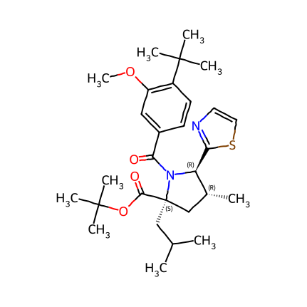 COc1cc(C(=O)N2[C@@H](c3nccs3)[C@H](C)C[C@@]2(CC(C)C)C(=O)OC(C)(C)C)ccc1C(C)(C)C